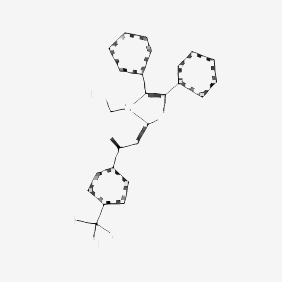 CCN1C(=CC(=O)c2ccc(C(Cl)(Cl)Cl)cc2)SC(c2ccccc2)=C1c1ccccc1